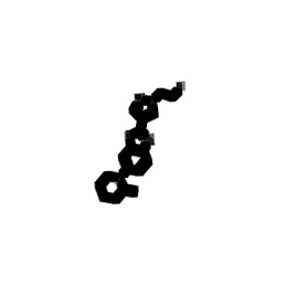 C=C1CCCCN1c1ccc2nc(-c3cnn(CCF)c3)sc2c1